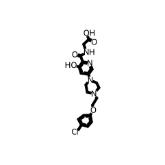 O=C(O)CNC(=O)c1ncc(N2CCN(CCOc3ccc(Cl)cc3)CC2)cc1O